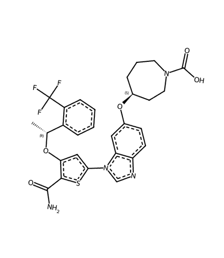 C[C@@H](Oc1cc(-n2cnc3ccc(O[C@H]4CCCN(C(=O)O)CC4)cc32)sc1C(N)=O)c1ccccc1C(F)(F)F